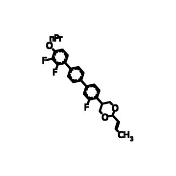 C/C=C/C1OCC(c2ccc(-c3ccc(-c4ccc(OCCC)c(F)c4F)cc3)cc2F)CO1